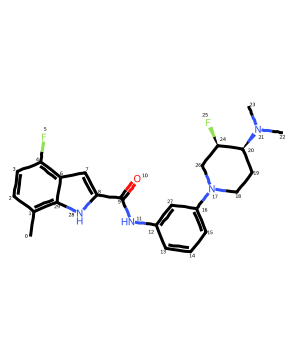 Cc1ccc(F)c2cc(C(=O)Nc3cccc(N4CC[C@H](N(C)C)[C@H](F)C4)c3)[nH]c12